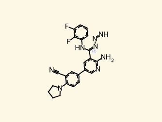 N#Cc1cc(-c2cnc(N)c(/C(=N/N=N)Nc3cccc(F)c3F)c2)ccc1N1CCCC1